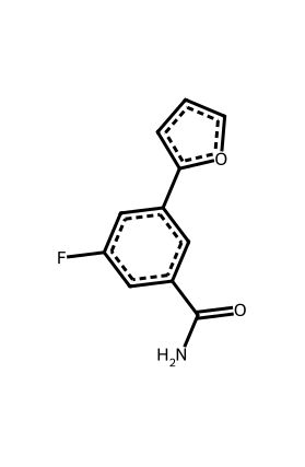 NC(=O)c1cc(F)cc(-c2ccco2)c1